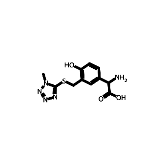 Cn1nnnc1SCc1cc(C(N)C(=O)O)ccc1O